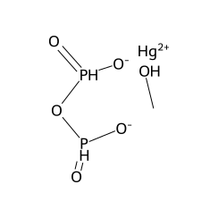 CO.O=[PH]([O-])O[PH](=O)[O-].[Hg+2]